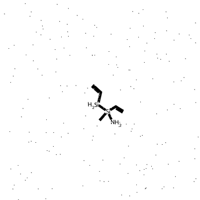 C=C[SiH2][Si](C)(N)C=C